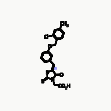 Cc1ccc(COc2cccc(/C=C3\SC(=S)N(CC(=O)O)C3=O)c2)c(Cl)c1